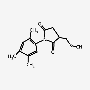 Cc1cc(C)c(N2C(=O)CC(CSC#N)C2=O)cc1C